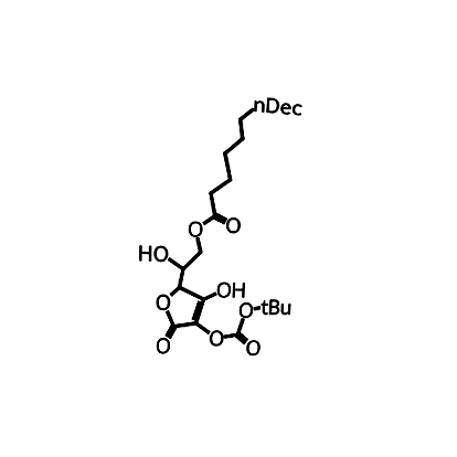 CCCCCCCCCCCCCCCC(=O)OCC(O)C1OC(=O)C(OC(=O)OC(C)(C)C)=C1O